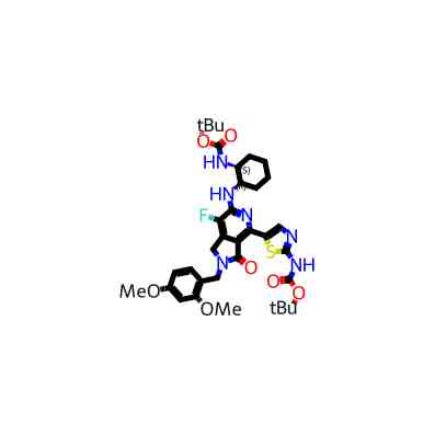 COc1ccc(CN2Cc3c(F)c(N[C@@H]4CCCC[C@@H]4NC(=O)OC(C)(C)C)nc(-c4cnc(NC(=O)OC(C)(C)C)s4)c3C2=O)c(OC)c1